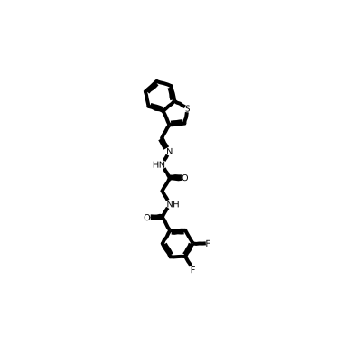 O=C(CNC(=O)c1ccc(F)c(F)c1)N/N=C/c1csc2ccccc12